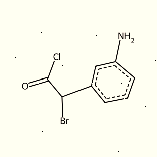 Nc1cccc(C(Br)C(=O)Cl)c1